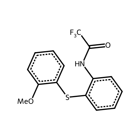 COc1ccccc1Sc1ccccc1NC(=O)C(F)(F)F